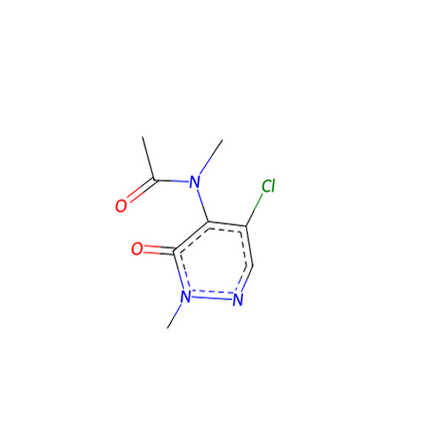 CC(=O)N(C)c1c(Cl)cnn(C)c1=O